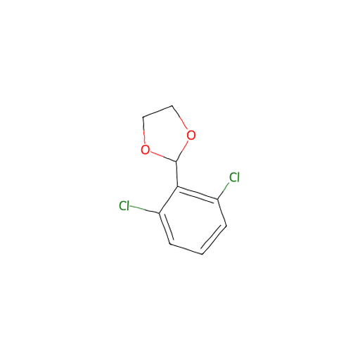 Clc1cccc(Cl)c1C1OCCO1